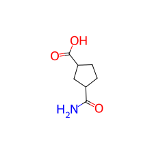 NC(=O)C1CCC(C(=O)O)C1